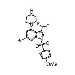 COc1ccc(S(=O)(=O)n2cc(C(F)F)c3c(N4CCNCC4)cc(Br)cc32)cc1